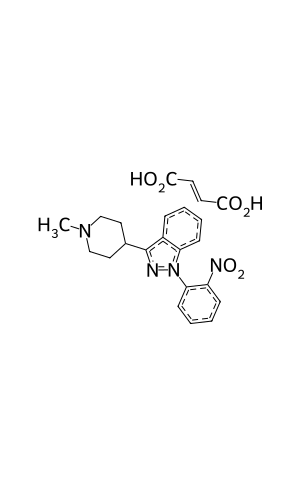 CN1CCC(c2nn(-c3ccccc3[N+](=O)[O-])c3ccccc23)CC1.O=C(O)/C=C/C(=O)O